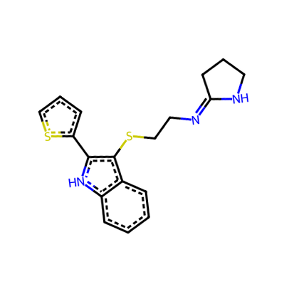 c1csc(-c2[nH]c3ccccc3c2SCC/N=C2\CCCN2)c1